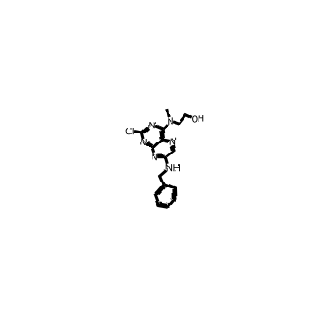 CN(CCO)c1nc(Cl)nc2nc(NCc3ccccc3)cnc12